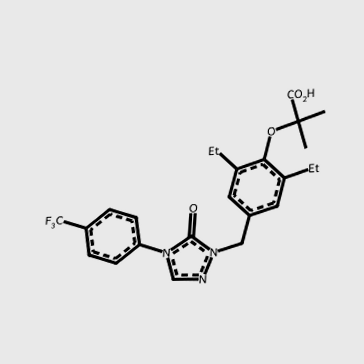 CCc1cc(Cn2ncn(-c3ccc(C(F)(F)F)cc3)c2=O)cc(CC)c1OC(C)(C)C(=O)O